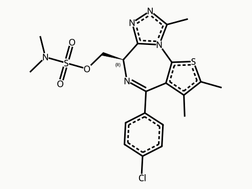 Cc1sc2c(c1C)C(c1ccc(Cl)cc1)=N[C@@H](COS(=O)(=O)N(C)C)c1nnc(C)n1-2